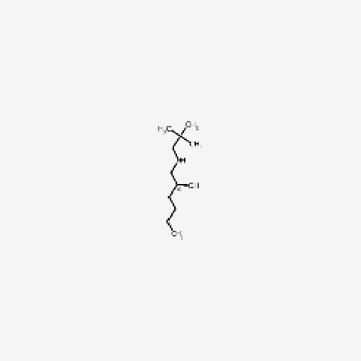 CCCC[C@H](O)CNCC(C)(C)C